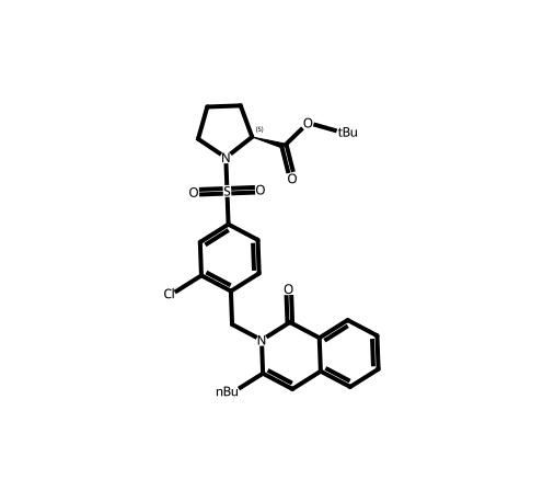 CCCCc1cc2ccccc2c(=O)n1Cc1ccc(S(=O)(=O)N2CCC[C@H]2C(=O)OC(C)(C)C)cc1Cl